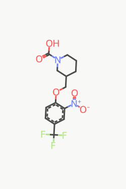 O=C(O)N1CCCC(COc2ccc(C(F)(F)F)cc2[N+](=O)[O-])C1